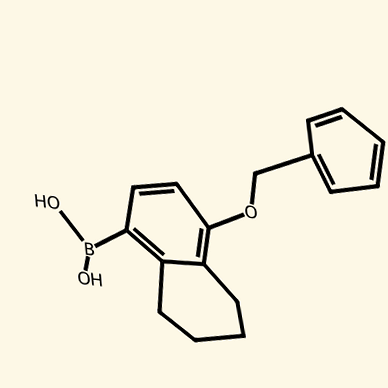 OB(O)c1ccc(OCc2ccccc2)c2c1CCCC2